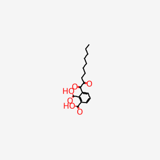 CCCCCCCCC(=O)C(=O)c1cccc(C(=O)O)c1C(=O)O